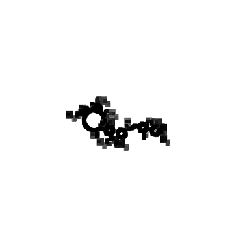 C=C1CC[C@H](c2c(F)cc(CCNC3CCC(N(C)C(=C)c4ccc5c(c4)N4C[C@H](CC)CCCCc6c(cnn6C)-c6cc(cc(C)n6)C(=C)/N=C/4N5)CC3)cc2F)C(=C)N1